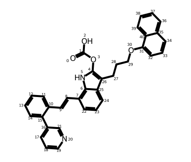 O=C(O)Oc1[nH]c2c(/C=C/c3ccccc3-c3cccnc3)cccc2c1CCCOc1cccc2ccccc12